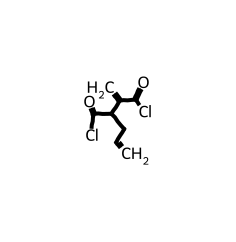 C=CCC(C(=C)C(=O)Cl)C(=O)Cl